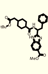 COC(=O)c1ccc2[nH]c(C(Cc3ccccc3)NC(=O)C3CCC(CC(=O)OC(C)(C)C)CC3)nc2c1